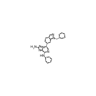 Nc1nc2c(Nc3ccccc3)ncc(-c3ccc4cnn(Cc5ccccc5)c4c3)n2n1